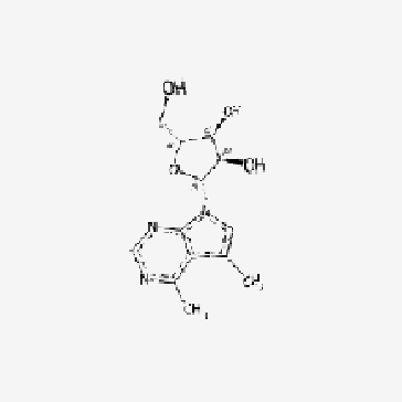 Cc1cn([C@@H]2O[C@H](CO)[C@@H](O)[C@H]2O)c2ncnc(C)c12